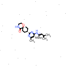 C=C(C)/C=C(\NC)Nc1cc(C)nc([C@H]2CC[C@@]3(CC2)OCCNC3=O)n1